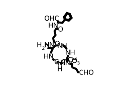 CC1(NC(=O)CCCC=O)CNCCNCC(CN)(NC(=O)CCCC(=O)NC(C=O)Cc2ccccc2)CNCCNC1